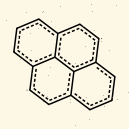 [c]1cc2cccc3[c]cc4cccc1c4c32